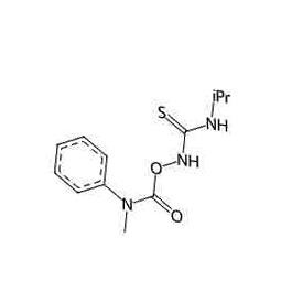 CC(C)NC(=S)NOC(=O)N(C)c1ccccc1